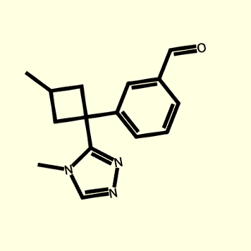 CC1CC(c2cccc(C=O)c2)(c2nncn2C)C1